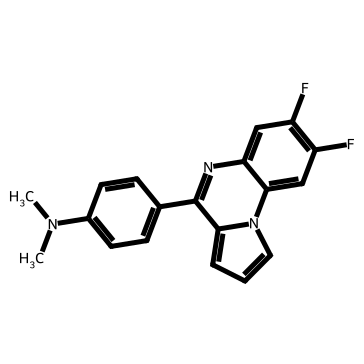 CN(C)c1ccc(-c2nc3cc(F)c(F)cc3n3cccc23)cc1